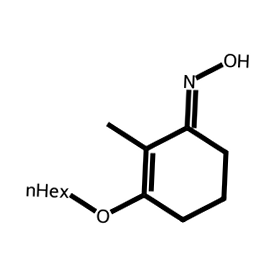 CCCCCCOC1=C(C)C(=NO)CCC1